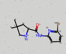 CC1(C)CNC(C(=O)Nc2cccc(Br)n2)C1